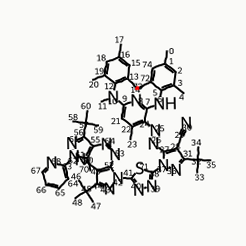 Cc1cc(C)c(Nc2nc(N(C)c3c(C)cc(C)cc3C)cc(C)c2N=Nc2c(C#N)c(C(C)(C)C)nn2-c2nnc(-n3nc(C(C)(C)C)c(C#N)c3N=Nc3c(C(C)(C)C)nn(-c4ccccn4)c3C)s2)c(C)c1